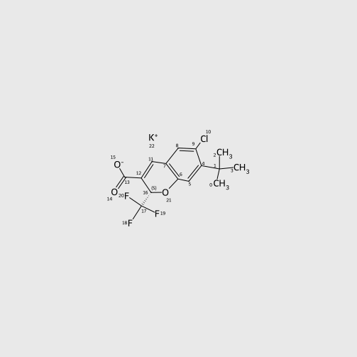 CC(C)(C)c1cc2c(cc1Cl)C=C(C(=O)[O-])[C@@H](C(F)(F)F)O2.[K+]